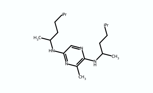 Cc1nc(NC(C)CCC(C)C)cnc1NC(C)CCC(C)C